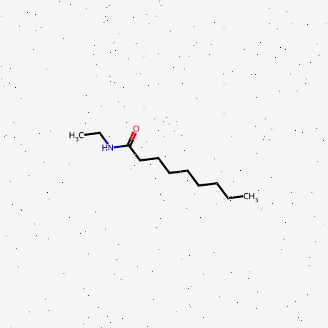 CCCCCCCCC(=O)NCC